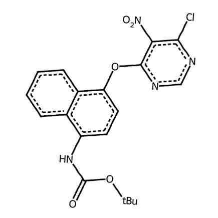 CC(C)(C)OC(=O)Nc1ccc(Oc2ncnc(Cl)c2[N+](=O)[O-])c2ccccc12